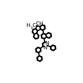 CC1(C)c2cccc(-c3ccc(-c4cc(-c5cccc(-c6ccccc6)c5)nc(-c5ccccc5)n4)c4ccccc34)c2-c2c1ccc1ccccc21